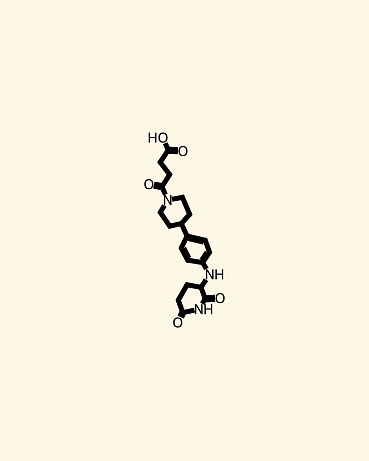 O=C(O)CCC(=O)N1CCC(c2ccc(NC3CCC(=O)NC3=O)cc2)CC1